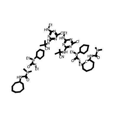 CCNc1nc(Cl)nc(NC(C)(C)C#N)n1.CCNc1nc(Cl)nc(NC(C)(C)C#N)n1.CCSC(=O)N(CC)C1CCCCC1.CCSC(=O)N(CC)C1CCCCC1.CN(C)C(=O)NC1CCCCCCC1.CN(C)C(=O)NC1CCCCCCC1